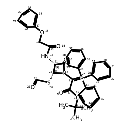 CC(C)(C)OC(=O)C(N1C(=O)[C@@H](NC(=O)COc2ccccc2)[C@H]1SC=O)=P(c1ccccc1)(c1ccccc1)c1ccccc1